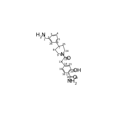 NCc1cccc(C2CCN(C(=O)Cc3ccc(C(N)=O)c(O)c3)CC2)c1